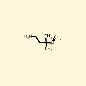 C=NC(C)(C)CCN